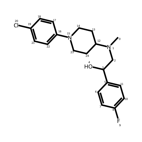 CN(CC(O)c1ccc(F)cc1)C1CCN(c2ccc(Cl)cc2)CC1